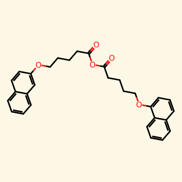 O=C(CCCCOc1ccc2ccccc2c1)OC(=O)CCCCOc1cccc2ccccc12